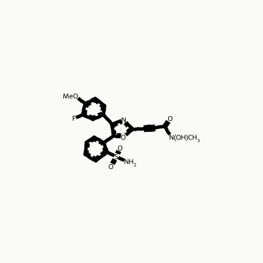 COc1ccc(-c2nc(C#CC(=O)N(C)O)oc2-c2ccccc2S(N)(=O)=O)cc1F